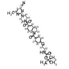 Cc1cc(C#N)nc(N2CCN(S(=O)(=O)c3ccc4c(c3)CCN4C(=O)c3ccc(OCCNC(=O)OC(C)(C)C)cc3)CC2)n1